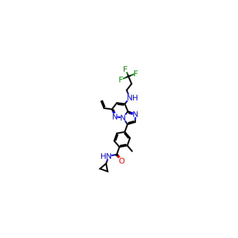 C=Cc1cc(NCCC(F)(F)F)c2ncc(-c3ccc(C(=O)NC4CC4)c(C)c3)n2n1